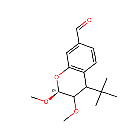 COC1C(C(C)(C)C)c2ccc(C=O)cc2O[C@@H]1OC